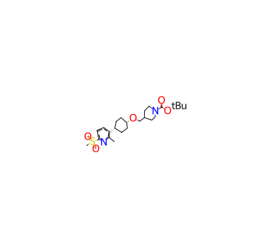 Cc1nc(S(C)(=O)=O)ccc1[C@H]1CC[C@@H](OCC2CCN(C(=O)OC(C)(C)C)CC2)CC1